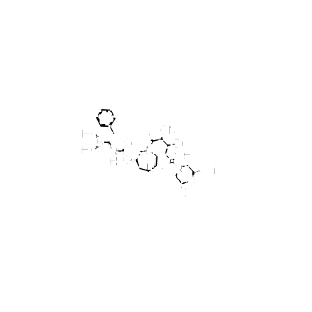 CCC(CC(C)(C)N1C[C@@H](C)O[C@H](C)C1)C(C#N)C(=O)N1CCCC[C@@H](OC(=O)N[C@@H](Cc2ccccc2)B(O)O)C1